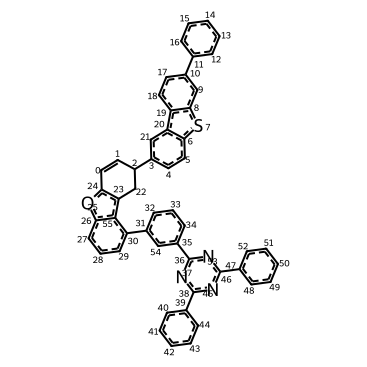 C1=CC(c2ccc3sc4cc(-c5ccccc5)ccc4c3c2)Cc2c1oc1cccc(-c3cccc(-c4nc(-c5ccccc5)nc(-c5ccccc5)n4)c3)c21